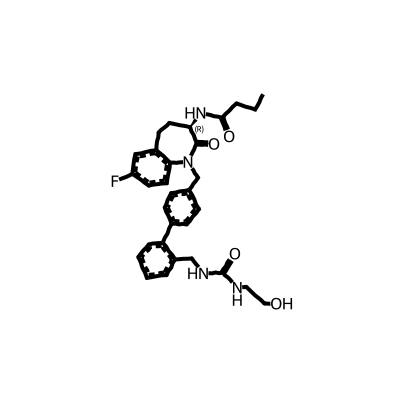 CCCC(=O)N[C@@H]1CCc2cc(F)ccc2N(Cc2ccc(-c3ccccc3CNC(=O)NCCO)cc2)C1=O